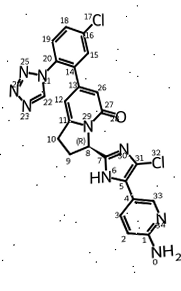 Nc1ccc(-c2[nH]c([C@H]3CCc4cc(-c5cc(Cl)ccc5-n5cnnn5)cc(=O)n43)nc2Cl)cn1